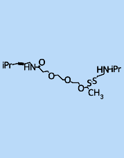 CC(C)C#CCNC(=O)CCOCCOCCOC(C)SSCCNC(C)C